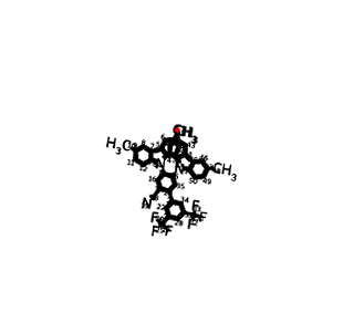 Cc1ccc2c(c1)c1cc(C)ccc1n2-c1cc(C#N)c(-c2cc(C(F)(F)F)cc(C(F)(F)F)c2)cc1-n1c2ccc(C)cc2c2cc(C)ccc21